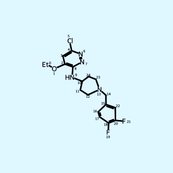 CCOc1cc(Cl)nnc1NC1CCN(Cc2ccc(F)c(F)c2)CC1